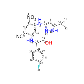 N#Cc1cc([N+](=O)[O-])c(Nc2cc(C3CC3)[nH]n2)cc1NC(CO)c1ccc(F)cc1